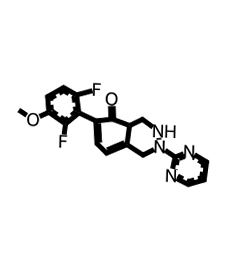 COc1ccc(F)c(C2=CC=C3CN(c4ncccn4)NCC3C2=O)c1F